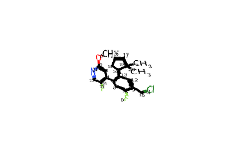 COc1cc(-c2cc(F)c(CCl)cc2C2CCCC2(C)C)c(F)cn1